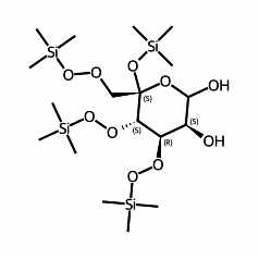 C[Si](C)(C)OOC[C@@]1(O[Si](C)(C)C)OC(O)[C@@H](O)[C@@H](OO[Si](C)(C)C)[C@@H]1OO[Si](C)(C)C